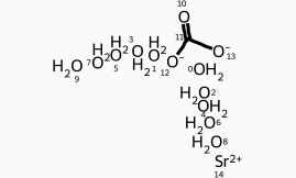 O.O.O.O.O.O.O.O.O.O.O=C([O-])[O-].[Sr+2]